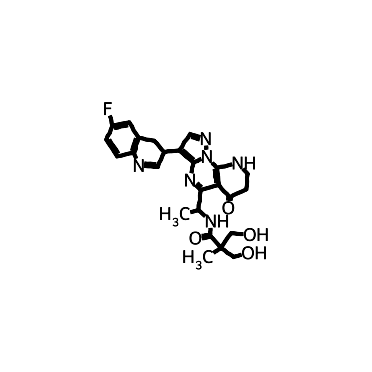 CC(NC(=O)C(C)(CO)CO)c1nc2c(C3C=Nc4ccc(F)cc4C3)cnn2c2c1C(=O)CCN2